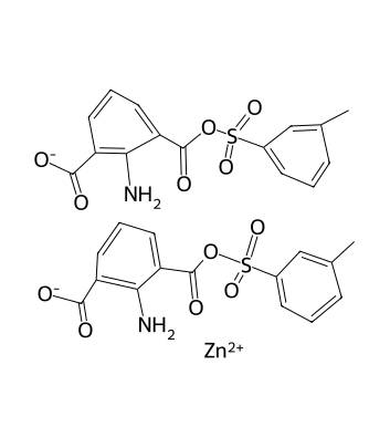 Cc1cccc(S(=O)(=O)OC(=O)c2cccc(C(=O)[O-])c2N)c1.Cc1cccc(S(=O)(=O)OC(=O)c2cccc(C(=O)[O-])c2N)c1.[Zn+2]